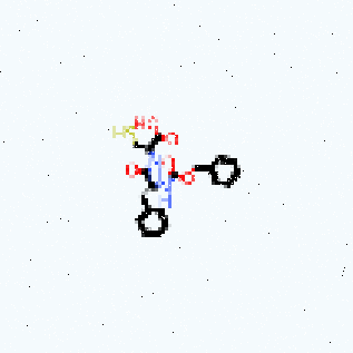 O=C(N[C@H](Cc1ccccc1)C(=O)N[C@@H](CS)C(=O)O)OCc1ccccc1